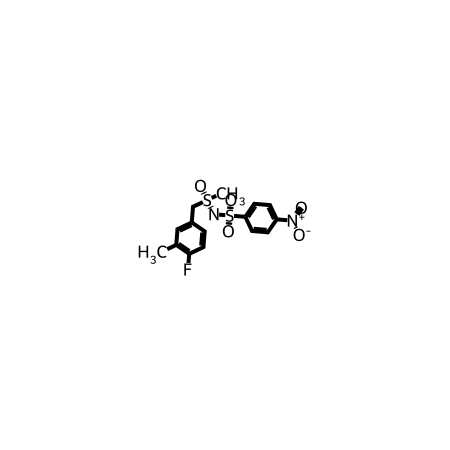 Cc1cc(CS(C)(=O)=NS(=O)(=O)c2ccc([N+](=O)[O-])cc2)ccc1F